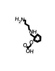 NCCCCNCc1ccccc1OCC(=O)O